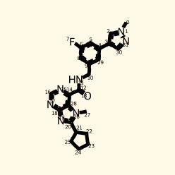 Cn1cc(-c2cc(F)cc(CNC(=O)c3ncnc4nc(C5CCCC5)n(C)c34)c2)cn1